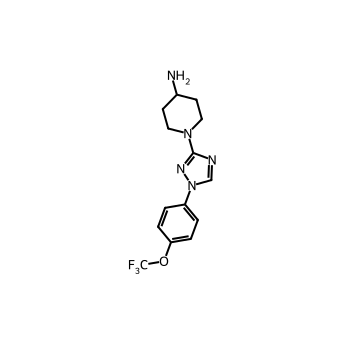 NC1CCN(c2ncn(-c3ccc(OC(F)(F)F)cc3)n2)CC1